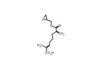 C=C(CCCC=C(C)C(=O)O)C(=O)OCC1CO1